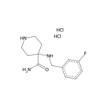 Cl.Cl.NC(=O)C1(NCc2cccc(F)c2)CCNCC1